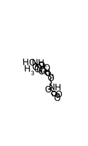 CN(C)c1c(C(=O)NO)cccc1S(=O)(=O)c1ccc(OCCCNC(=O)c2ccc3c(c2)OCO3)cc1